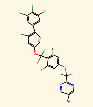 CCCc1cnc(C(F)(F)Oc2cc(F)c(C(F)(F)Oc3ccc(-c4cc(F)c(F)c(F)c4)c(F)c3)c(F)c2)nc1